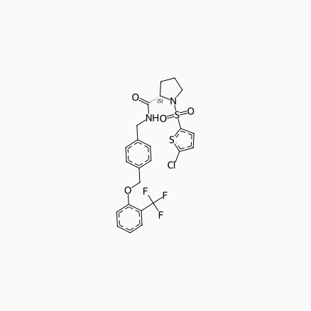 O=C(NCc1ccc(COc2ccccc2C(F)(F)F)cc1)[C@@H]1CCCN1S(=O)(=O)c1ccc(Cl)s1